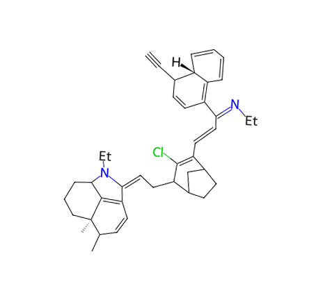 C#CC1C=CC(C(/C=C/C2=C(Cl)C(C/C=C3\C4=C5C(CCC[C@]5(C)C(C)C=C4)N3CC)C3CCC2C3)=N/CC)=C2C=CC=C[C@H]21